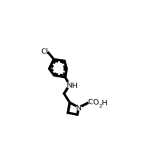 O=C(O)N1CCC1CNc1ccc(Cl)cc1